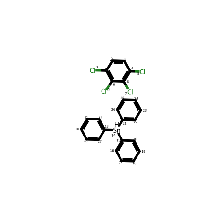 Clc1[c]cc(Cl)c(Cl)c1Cl.c1cc[c]([SnH]([c]2ccccc2)[c]2ccccc2)cc1